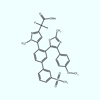 COC(=O)C(F)(F)c1cc(-c2ccc(-c3cccc(S(C)(=O)=O)c3)cc2-c2oc(C)nc2-c2ccc(OC(F)(F)F)cc2)n(C)n1